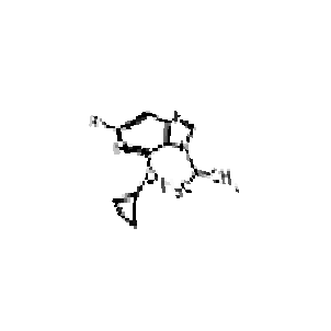 CC(C)n1cnc2cc(Br)nc(OC3CC3)c21